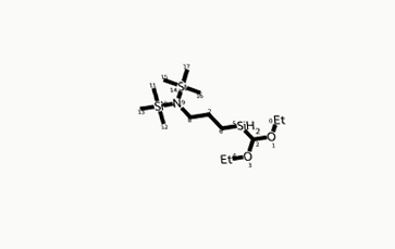 CCOC(OCC)[SiH2]CCCN([Si](C)(C)C)[Si](C)(C)C